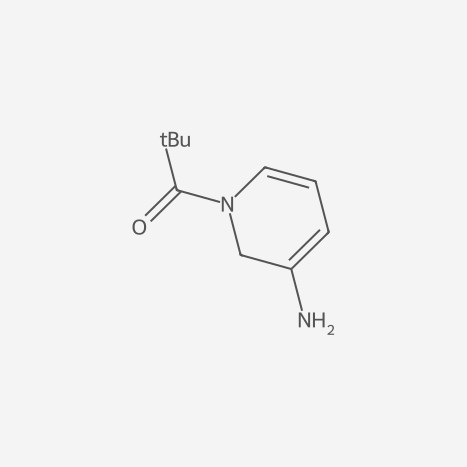 CC(C)(C)C(=O)N1C=CC=C(N)C1